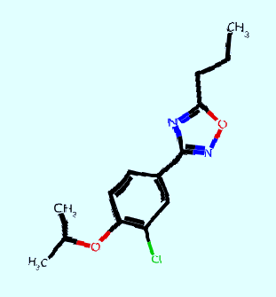 CCCc1nc(-c2ccc(OC(C)C)c(Cl)c2)no1